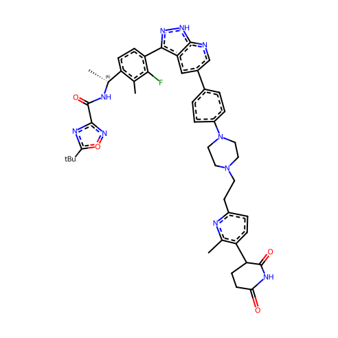 Cc1nc(CCN2CCN(c3ccc(-c4cnc5[nH]nc(-c6ccc([C@@H](C)NC(=O)c7noc(C(C)(C)C)n7)c(C)c6F)c5c4)cc3)CC2)ccc1C1CCC(=O)NC1=O